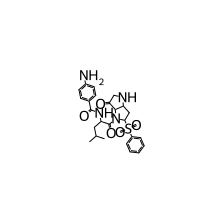 CC(C)CC(NC(=O)c1ccc(N)cc1)C(=O)N1C2C(=O)CNC2CC1S(=O)(=O)c1ccccc1